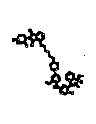 COc1cc(N2CCN(CCCCCSc3cccc4c3C(=O)N(C3CCC(=O)NC3=O)C4=O)CC2)ccc1Nc1ncc(Cl)c(Nc2ccccc2P(=O)(OC)OC)n1